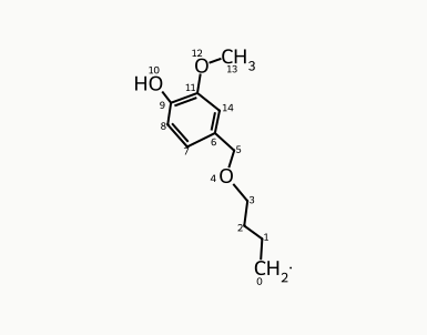 [CH2]CCCOCc1ccc(O)c(OC)c1